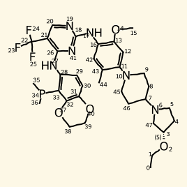 CCO[C@H]1CCN(C2CCN(c3cc(OC)c(Nc4ncc(C(F)(F)F)c(Nc5ccc6c(c5P(C)C)OCCO6)n4)cc3C)CC2)C1